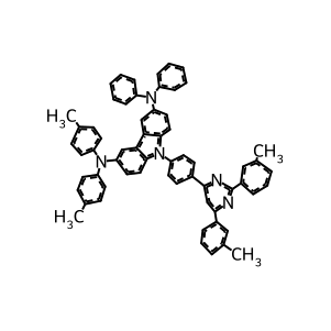 Cc1ccc(N(c2ccc(C)cc2)c2ccc3c(c2)c2cc(N(c4ccccc4)c4ccccc4)ccc2n3-c2ccc(-c3cc(-c4cccc(C)c4)nc(-c4cccc(C)c4)n3)cc2)cc1